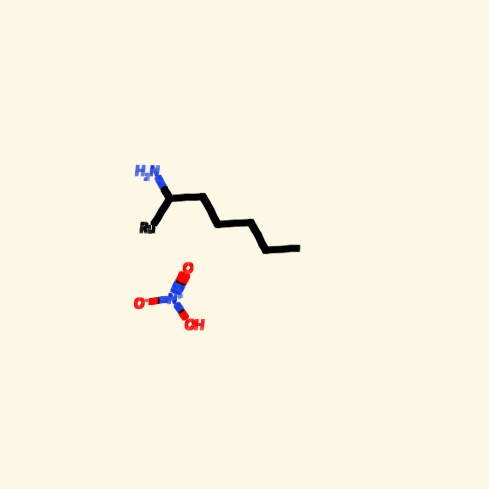 CCCCC[CH](N)[Ru].O=[N+]([O-])O